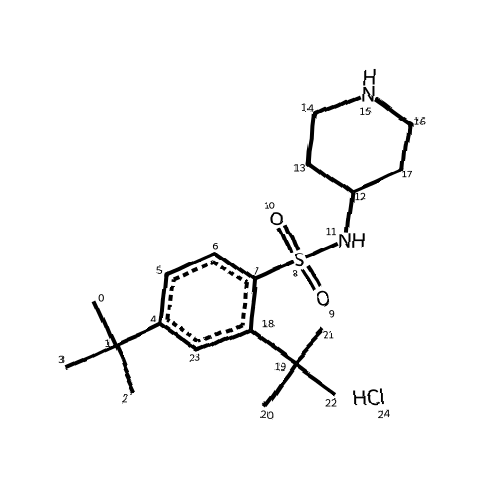 CC(C)(C)c1ccc(S(=O)(=O)NC2CCNCC2)c(C(C)(C)C)c1.Cl